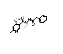 Cc1cc(O)c(C(=O)N[N]C(=O)Cc2ccccc2)cn1